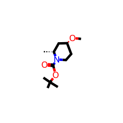 CO[C@@H]1CCN(C(=O)OC(C)(C)C)[C@H](C)C1